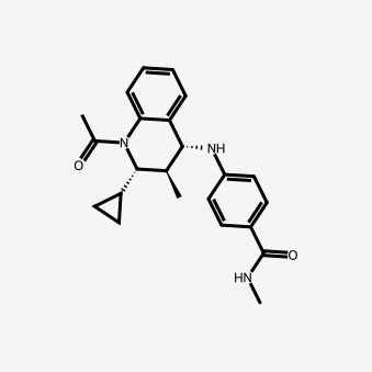 CNC(=O)c1ccc(N[C@H]2c3ccccc3N(C(C)=O)[C@@H](C3CC3)[C@@H]2C)cc1